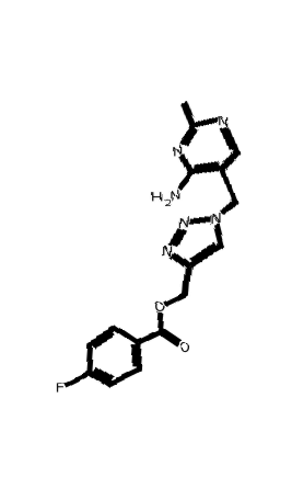 Cc1ncc(Cn2cc(COC(=O)c3ccc(F)cc3)nn2)c(N)n1